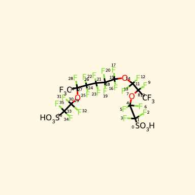 O=S(=O)(O)C(F)(F)C(F)(F)OC(F)(C(F)(F)F)C(F)(F)OC(F)(F)C(F)(F)C(F)(F)C(F)(F)C(F)(OC(F)(F)C(F)(F)S(=O)(=O)O)C(F)(F)F